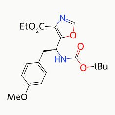 CCOC(=O)c1ncoc1[C@H](Cc1ccc(OC)cc1)NC(=O)OC(C)(C)C